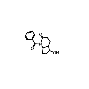 O=C1CCC2C(O)CCC2N1C(=O)c1ccccc1